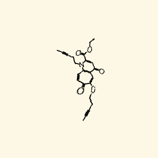 CC#CCCOc1cc2c(=O)cc(C(=O)OCC)n(CCC#CC)c2ccc1=O